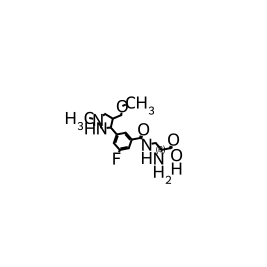 COCC1CN(C)NC1c1cc(F)cc(C(=O)NC[C@@H](N)C(=O)O)c1